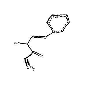 C=CC(=O)C(C=Cc1ccccc1)CCC